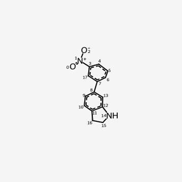 O=[N+]([O-])c1cccc(-c2ccc3c(c2)NCC3)c1